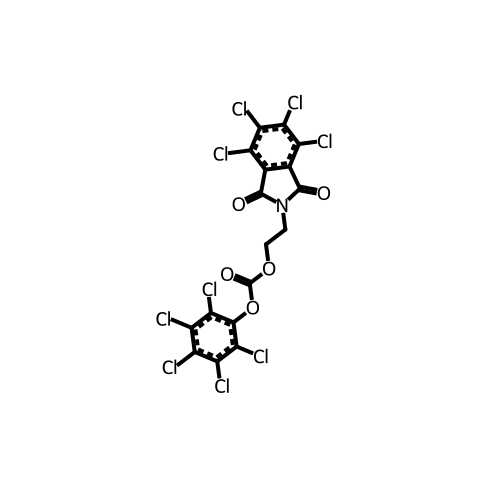 O=C(OCCN1C(=O)c2c(Cl)c(Cl)c(Cl)c(Cl)c2C1=O)Oc1c(Cl)c(Cl)c(Cl)c(Cl)c1Cl